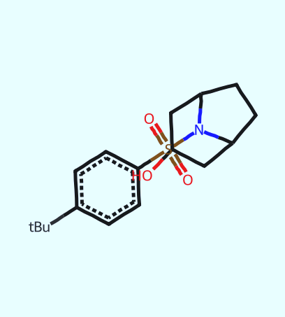 CC(C)(C)c1ccc(S(=O)(=O)N2C3CCC2CC(O)C3)cc1